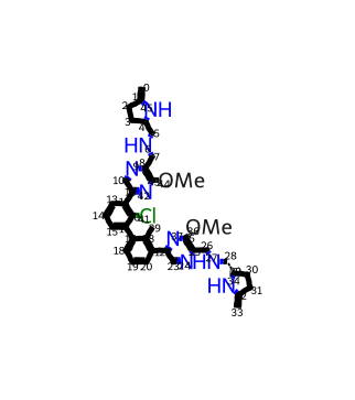 C=C1CCC(CNCc2ncc(-c3cccc(-c4cccc(-c5cnc(CNC[C@@H]6CCC(=C)N6)c(OC)n5)c4C)c3Cl)nc2OC)N1